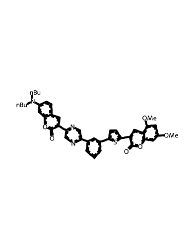 CCCCN(CCCC)c1ccc2cc(-c3cnc(-c4cccc(-c5ccc(-c6cc7c(OC)cc(OC)cc7oc6=O)s5)c4)cn3)c(=O)oc2c1